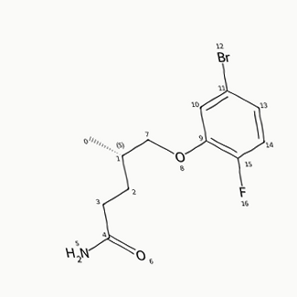 C[C@@H](CCC(N)=O)COc1cc(Br)ccc1F